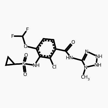 CN1NNN=C1NC(=O)c1ccc(OC(F)F)c(NS(=O)(=O)C2CC2)c1Cl